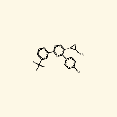 N[C@@H]1C[C@H]1c1ccc(-c2cccc(C(F)(F)F)c2)nc1-c1ccc(Cl)cc1